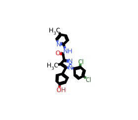 Cc1ccc(NC(=O)c2nn(-c3ccc(Cl)cc3Cl)c(-c3ccc(O)cc3)c2C)nc1